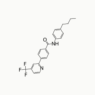 CCCCc1ccc(NC(=O)c2ccc(-c3cc(C(F)(F)F)ccn3)cc2)cc1